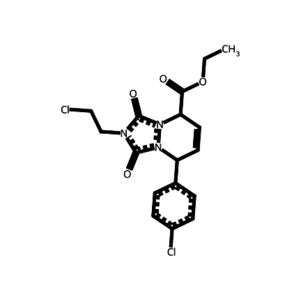 CCOC(=O)C1C=CC(c2ccc(Cl)cc2)n2c(=O)n(CCCl)c(=O)n21